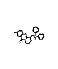 Cc1ccc2nc3n(c(=O)c2c1)CCCC3CP(=O)(c1ccccc1)c1ccccc1